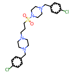 O=S(=O)(CCCN1CCN(Cc2ccc(Cl)cc2)CC1)N1CCN(Cc2ccc(Cl)cc2)CC1